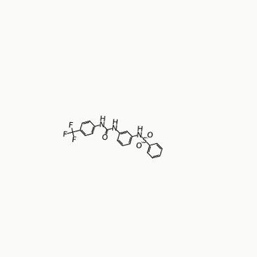 O=C(Nc1ccc(C(F)(F)F)cc1)Nc1cccc(NS(=O)(=O)c2ccccc2)c1